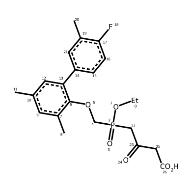 CCOP(=O)(COc1c(C)cc(C)cc1-c1ccc(F)c(C)c1)CC(=O)CC(=O)O